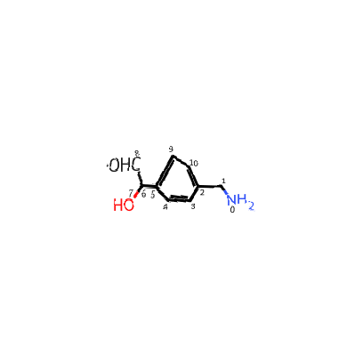 NCc1ccc(C(O)[C]=O)cc1